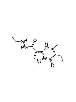 C[CH]NNC(=O)c1cnn2c(=O)c(CC)c(C)[nH]c12